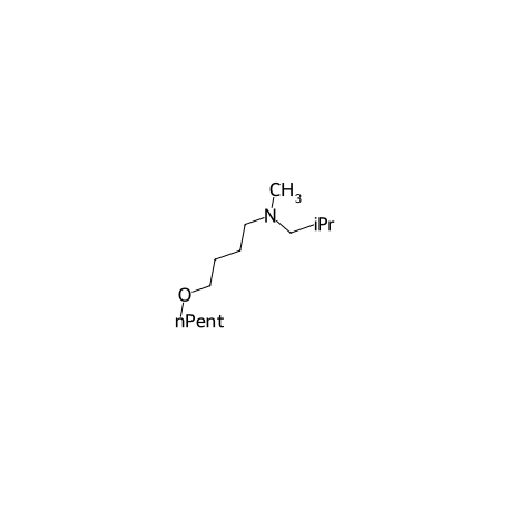 CCCCCOCCCCN(C)CC(C)C